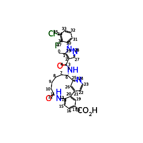 Cc1c(C(=O)N[C@H]2CCCCC(=O)Nc3ccc(C(=O)O)cc3-c3ccnc2c3)cnn1-c1cccc(Cl)c1F